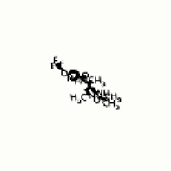 Cc1cc(C(C)NC(=O)c2ccc(OCCC(F)(F)F)nc2)cc(NC(=O)C(C)C)n1